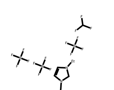 CCN1C=CN(C)C1.FC(F)F.F[B-](F)(F)F.F[B-](F)(F)F.F[B-](F)(F)F